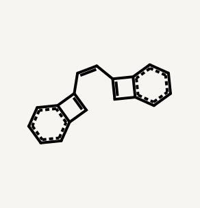 C1=C(/C=C\C2=Cc3ccccc32)c2ccccc21